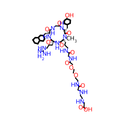 CN1C(=O)[C@@H](Cc2ccc(O)cc2)NC(=O)CNC(=O)[C@H](Cc2ccc3ccccc3c2)NC(=O)[C@H](CCCNC(=N)N)NC(=O)[C@H]1CCCNC(=O)CNC(=O)COCCOCCNC(=O)CNCCNCC(=O)O